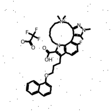 Cc1c2c(nn1C)C[N+](C)(C)CCCCn1c(C(=O)O)c(CCCOc3cccc4ccccc34)c3ccc(F)c-2c31.O=C([O-])C(F)(F)F